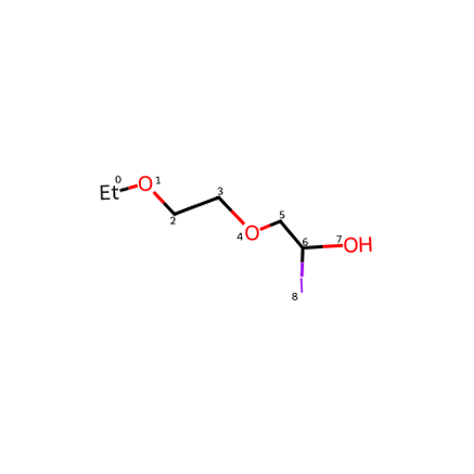 CCOCCOCC(O)I